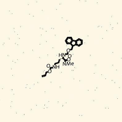 C=CCOC(=O)NCCC[C@H](NC(=O)OCC1c2ccccc2-c2ccccc21)C(=O)NC